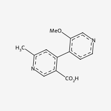 COc1cnccc1-c1cc(C)ncc1C(=O)O